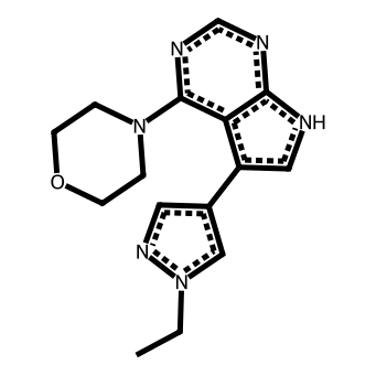 CCn1cc(-c2c[nH]c3ncnc(N4CCOCC4)c23)cn1